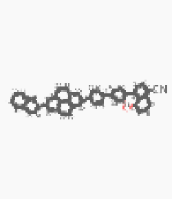 N#Cc1ccc2c3c(cccc13)Oc1cc(-c3ccc(-c4cc5ccc6cc(-c7ccc8ccccc8c7)cc7ccc(c4)c5c67)cc3)ccc1-2